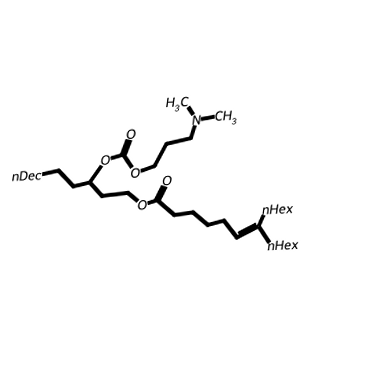 CCCCCCCCCCCCC(CCOC(=O)CCCCC=C(CCCCCC)CCCCCC)OC(=O)OCCCN(C)C